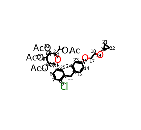 CC(=O)OC[C@H]1O[C@H](c2ccc(Cl)c(Cc3ccc(OCCOC4CC4)cc3)c2)[C@H](OC(C)=O)[C@@H](OC(C)=O)[C@@H]1OC(C)=O